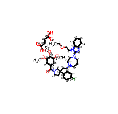 CCOCCn1c(N2CCCN(CCC3(c4ccc(F)cc4)CCN(C(=O)c4cc(OC)c(OC)c(OC)c4)C3)CC2)nc2ccccc21.O=C(O)C=CC(=O)O